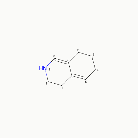 [C]1=C2CCCC=C2CCN1